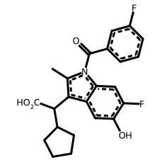 Cc1c(C(C(=O)O)C2CCCC2)c2cc(O)c(F)cc2n1C(=O)c1cccc(F)c1